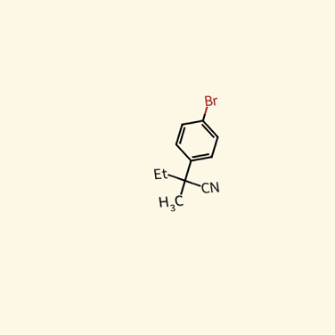 CCC(C)(C#N)c1ccc(Br)cc1